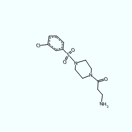 NCCC(=O)N1CCN(S(=O)(=O)c2cccc(Cl)c2)CC1